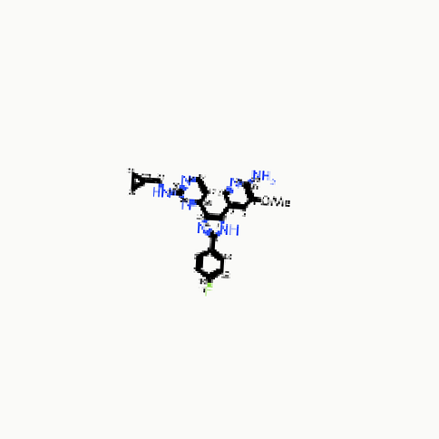 COc1cc(-c2[nH]c(-c3ccc(F)cc3)nc2-c2ccnc(NCC3CC3)n2)cnc1N